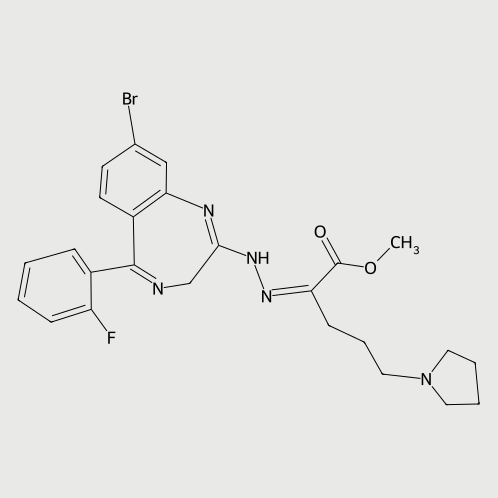 COC(=O)C(CCCN1CCCC1)=NNC1=Nc2cc(Br)ccc2C(c2ccccc2F)=NC1